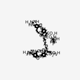 N=C(N)Nc1ccc2c(c1)CCCOc1c(cccc1C(=O)N(CCOCCOCCN(C(=O)c1cccc3c1OCCCc1cc(NC(=N)N)ccc1C(=O)O3)[C@@H](CC(=O)O)C(=O)O)[C@@H](CC(=O)O)C(=O)O)OC2=O.O=C(O)C(F)(F)F